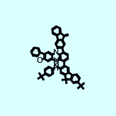 C=C1c2ccccc2-c2cc3c(cc21)c1ccc(-c2cc4c(cc2Nc2ccc(C(C)(C)C)cc2)C(C)(C)c2cc(C(C)(C)C)ccc2-4)c2c1n3-c1cc3c(cc1B2)oc1ccccc13